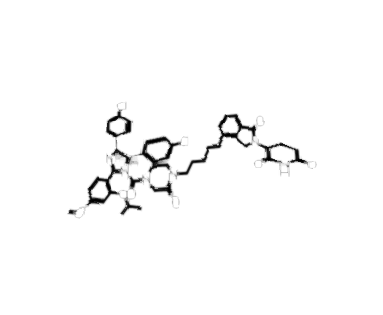 COc1ccc(C2=N[C@@H](c3ccc(Cl)cc3)[C@@H](c3ccc(Cl)cc3)N2C(=O)N2CCN(CCCCCc3cccc4c3CN(C3CCC(=O)NC3=O)C4=O)C(=O)C2)c(OC(C)C)c1